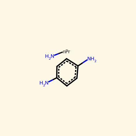 CCCN.Nc1ccc(N)cc1